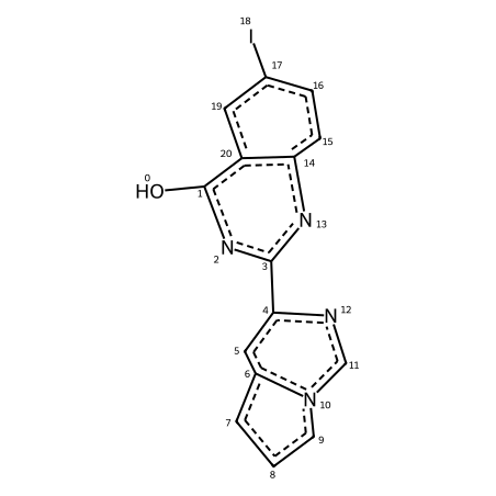 Oc1nc(-c2cc3cccn3cn2)nc2ccc(I)cc12